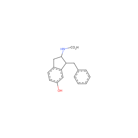 O=C(O)NC1Cc2ccc(O)cc2C1Cc1ccccc1